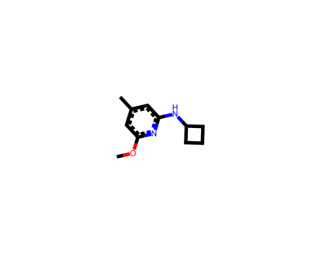 COc1cc(C)cc(NC2CCC2)n1